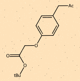 CC(=O)Cc1ccc(OCC(=O)OC(C)(C)C)cc1